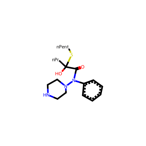 CCCCCSC(O)(CCC)C(=O)N(c1ccccc1)N1CCNCC1